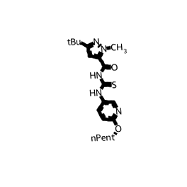 CCCCCOc1ccc(NC(=S)NC(=O)c2cc(C(C)(C)C)nn2C)cn1